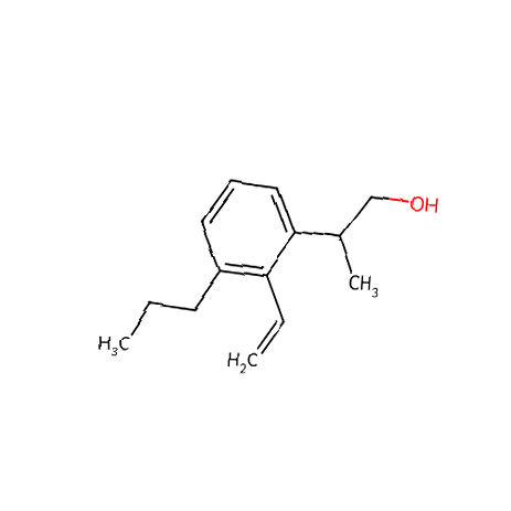 C=Cc1c(CCC)cccc1[C](C)CO